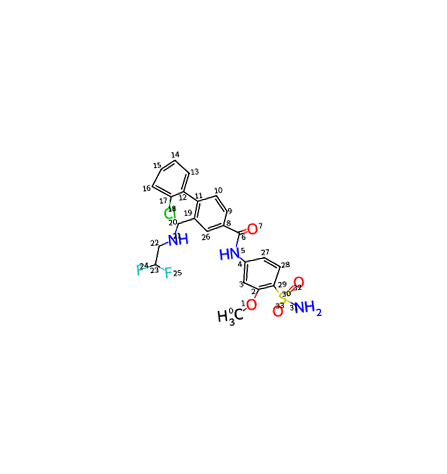 COc1cc(NC(=O)c2ccc(-c3ccccc3Cl)c(CNCC(F)F)c2)ccc1S(N)(=O)=O